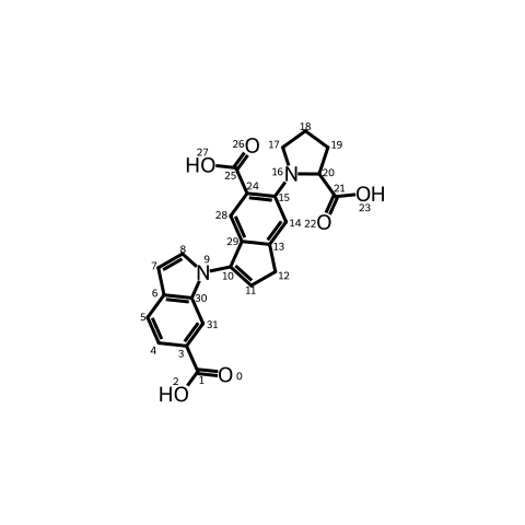 O=C(O)c1ccc2ccn(C3=CCc4cc(N5CCCC5C(=O)O)c(C(=O)O)cc43)c2c1